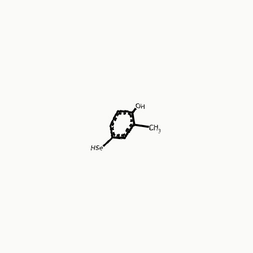 Cc1cc([SeH])ccc1O